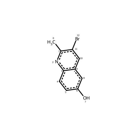 Cc1nc2ccc(O)cc2cc1Br